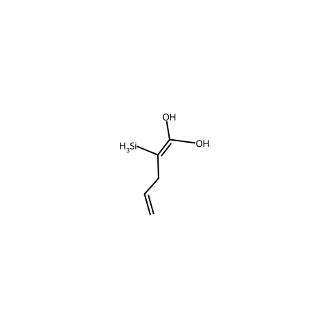 C=CCC([SiH3])=C(O)O